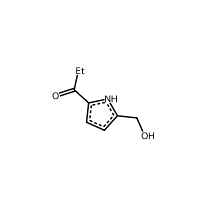 CCC(=O)c1ccc(CO)[nH]1